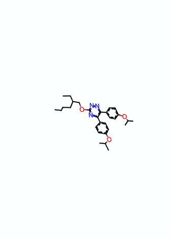 CCCCC(CC)COc1nnc(-c2ccc(OC(C)C)cc2)c(-c2ccc(OC(C)C)cc2)n1